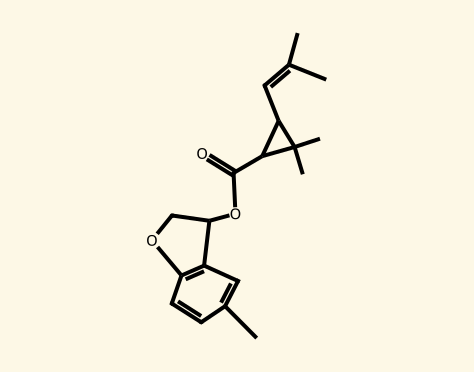 CC(C)=CC1C(C(=O)OC2COc3ccc(C)cc32)C1(C)C